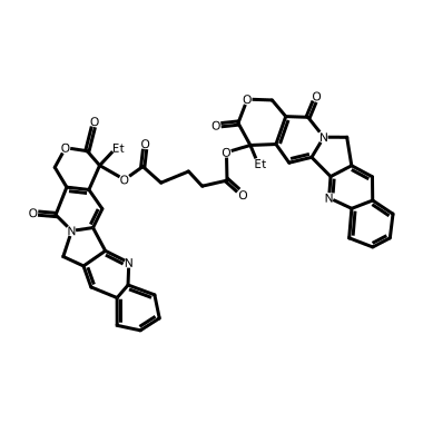 CCC1(OC(=O)CCCC(=O)OC2(CC)C(=O)OCc3c2cc2n(c3=O)Cc3cc4ccccc4nc3-2)C(=O)OCc2c1cc1n(c2=O)Cc2cc3ccccc3nc2-1